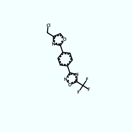 FC(F)(F)c1nc(-c2ccc(-c3nc(CCl)co3)cc2)no1